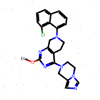 CCOc1nc2c(c(N3CCn4cncc4C3)n1)CCN(c1cccc3cccc(Cl)c13)C2